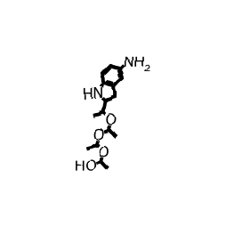 CC(O)OC(C)OC(C)OC(C)C1Cc2cc(N)ccc2N1